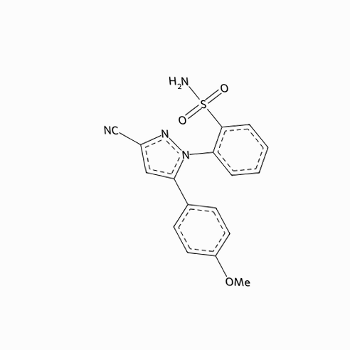 COc1ccc(-c2cc(C#N)nn2-c2ccccc2S(N)(=O)=O)cc1